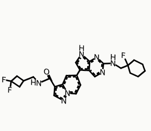 O=C(NCC1CC(F)(F)C1)c1cnn2ccc(-c3c[nH]c4nc(NCC5(F)CCCCC5)ncc34)cc12